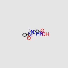 CC1CN([S+]([O-])c2ccccc2)CC(C)N1Cc1ccc(C(=O)NO)cc1